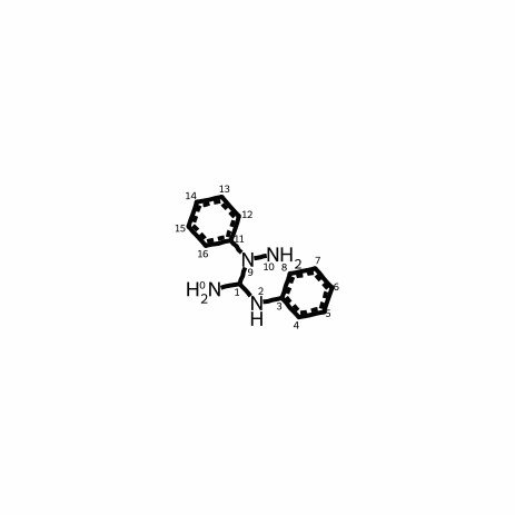 NC(Nc1ccccc1)N(N)c1ccccc1